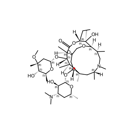 CC[C@H]1OC(=O)[C@H](C)[C@@H](O[C@H]2C[C@@](C)(OC)[C@@H](O)[C@H](C)O2)[C@H](C)[C@@H](O[C@@H]2O[C@H](C)C[C@H](N(C)C)[C@H]2O)[C@@]2(C)C[C@@H](C)N(C)C[C@H](C)[C@@H](OCC(=O)CO2)[C@]1(C)O